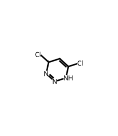 Cl[C]1C=C(Cl)NN=N1